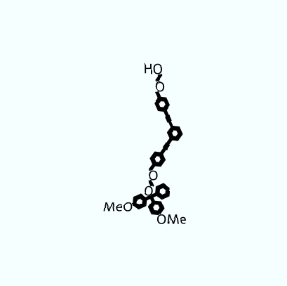 COc1ccc(C(OCCOCc2ccc(C#Cc3cccc(C#Cc4ccc(COCCO)cc4)c3)cc2)(c2ccccc2)c2ccc(OC)cc2)cc1